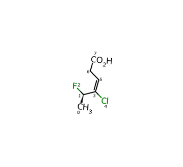 C[C@@H](F)/C(Cl)=C\CC(=O)O